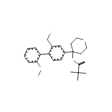 COc1ccccc1-c1ccc(C2(OC(=O)C(C)(C)C)CCNCC2)cc1CN